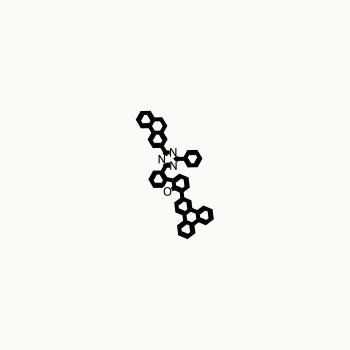 c1ccc(-c2nc(-c3ccc4c(c3)CCc3ccccc3-4)nc(-c3cccc4oc5c(-c6ccc7c8ccccc8c8ccccc8c7c6)cccc5c34)n2)cc1